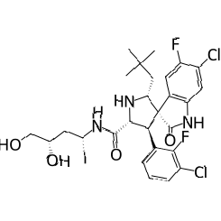 CC(C)(C)C[C@H]1N[C@@H](C(=O)N[C@H](I)C[C@H](O)CO)[C@H](c2cccc(Cl)c2F)[C@@]12C(=O)Nc1cc(Cl)c(F)cc12